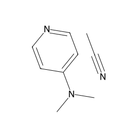 CC#N.CN(C)c1ccncc1